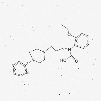 CCOc1ccccc1N(CCCN1CCN(c2cnccn2)CC1)C(=O)O